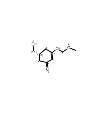 COCOC1=CC(=O)C[C@H](CO)C1